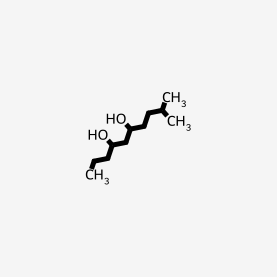 CCCC(O)CC(O)CCC(C)C